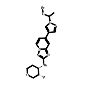 CCOC(C)n1cc(-c2ccn3nc(N[C@H]4CCOC[C@H]4F)nc3c2)cn1